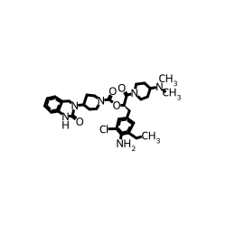 CCc1cc(C[C@@H](OC(=O)N2CCC(N3Cc4ccccc4NC3=O)CC2)C(=O)N2CCC(N(C)C)CC2)cc(Cl)c1N